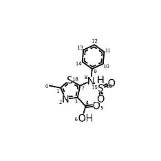 Cc1nc(C(=O)O)c(N(c2ccccc2)[SH](=O)=O)s1